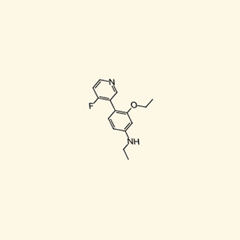 CCNc1ccc(-c2cnccc2F)c(OCC)c1